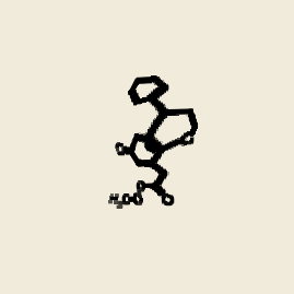 COOC(=O)CC1=CC(=O)CC2=C1OC=CC2c1ccccc1